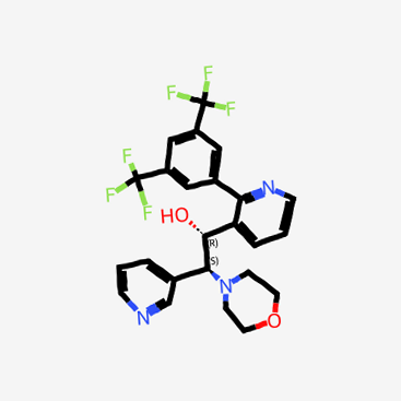 O[C@H](c1cccnc1-c1cc(C(F)(F)F)cc(C(F)(F)F)c1)[C@H](c1cccnc1)N1CCOCC1